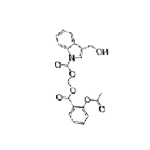 CC(=O)Oc1ccccc1C(=O)OCOC(=O)n1cc(CO)c2ccccc21